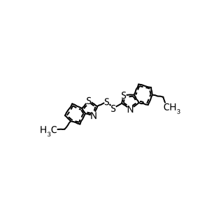 CCc1ccc2sc(SSc3nc4cc(CC)ccc4s3)nc2c1